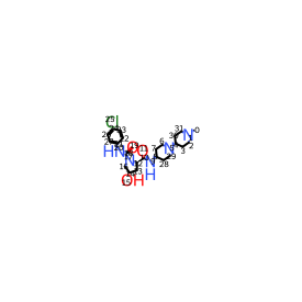 CN1CCC(N2CCC(NC(=O)[C@H]3C[C@@H](O)CN3C(=O)Nc3ccc(Cl)cc3)CC2)CC1